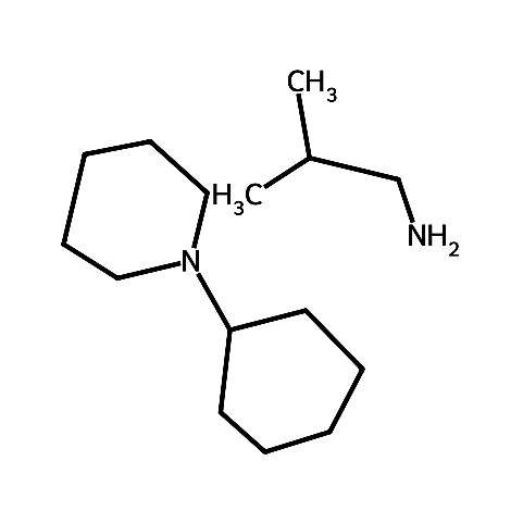 C1CCC(N2CCCCC2)CC1.CC(C)CN